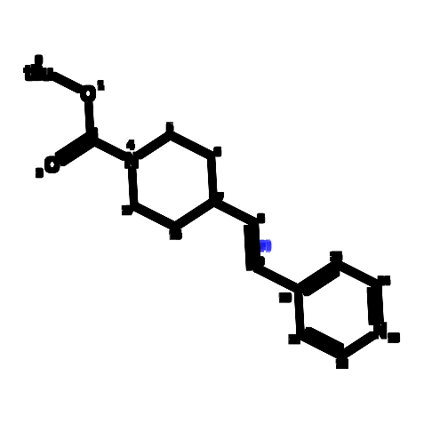 CC(C)(C)OC(=O)N1CCC(/C=C/c2ccncc2)CC1